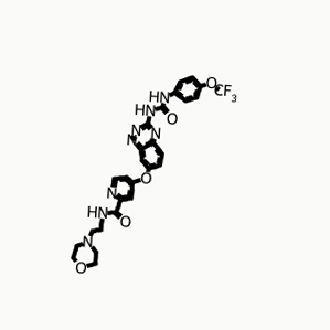 O=C(Nc1ccc(OC(F)(F)F)cc1)Nc1nnc2cc(Oc3ccnc(C(=O)NCCN4CCOCC4)c3)ccc2n1